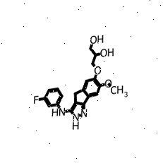 COc1cc2c(cc1OCC(O)CO)Cc1c-2n[nH]c1Nc1cccc(F)c1